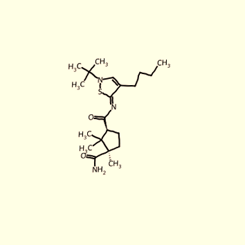 CCCCc1cn(C(C)(C)C)s/c1=N\C(=O)[C@H]1CC[C@@](C)(C(N)=O)C1(C)C